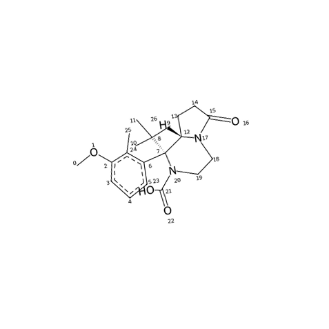 COc1cccc([C@@]2(C(C)(C)C)[C@@H]3CCC(=O)N3CCN2C(=O)O)c1C